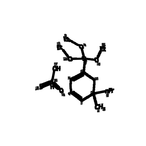 CCCC1(C)C=CC=C([Si](OCC)(OCC)OCC)C1.O=[SH](O)=S